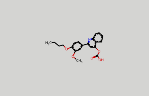 CCCCOc1ccc(-c2cc(OC(=O)O)c3ccccc3n2)cc1OC